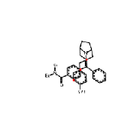 CCN(CC)C(=O)c1ccc(C(=C2CC3CCC(C2)N3CCc2ccc(O)cc2)c2ccccc2)cc1